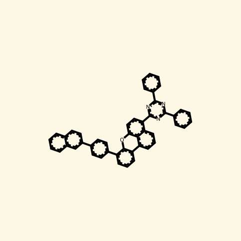 c1ccc(-c2nc(-c3ccccc3)nc(-c3ccc4c5c(cccc35)-c3cccc(-c5ccc(-c6ccc7ccccc7c6)cc5)c3O4)n2)cc1